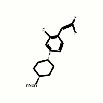 CCCCCCCCC[C@H]1CC[C@H](c2ccc(C=C(F)F)c(F)c2)CC1